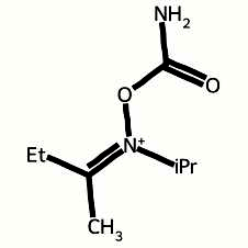 CCC(C)=[N+](OC(N)=O)C(C)C